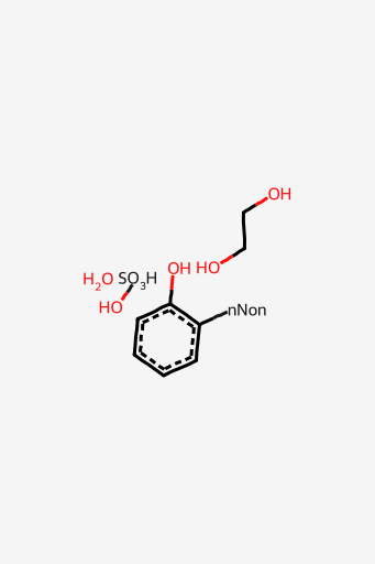 CCCCCCCCCc1ccccc1O.O.O=S(=O)(O)O.OCCO